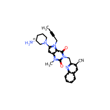 CC#CCn1c(N2CCC[C@@H](N)C2)cc2c1c(=O)n(Cc1nc3ccccc3cc1C#N)c(=O)n2C